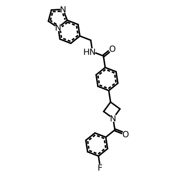 O=C(NCc1ccn2ccnc2c1)c1ccc(C2CN(C(=O)c3cccc(F)c3)C2)cc1